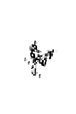 Cc1ccc(C(=O)Nc2ccc(F)cc2)cc1-c1nc(N2CCN(C)CC2)nc2c1CNC(=O)N2c1c(F)cccc1F.O=C(O)C(F)(F)F